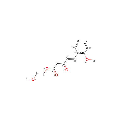 COCCOC(=O)CC(=O)C=Cc1ccccc1OC